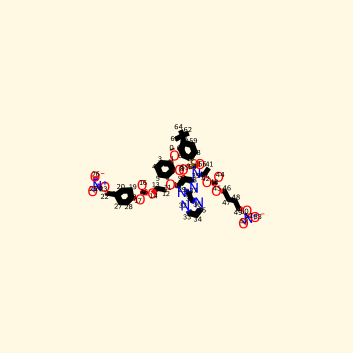 COc1ccccc1Oc1c(OCCOC(=O)Oc2ccc(CO[N+](=O)[O-])cc2)nc(-c2ncccn2)nc1N(C(C)OC(=O)OCCCCO[N+](=O)[O-])S(=O)(=O)c1ccc(C(C)(C)C)cc1